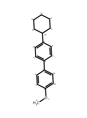 COc1ccc(-c2ccc(C3CC[CH]CC3)cc2)cc1